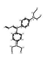 C=CC=C(c1ccc(N(CC)CC)cc1)c1ccc(N(CC)CC)cc1